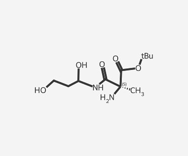 CC(C)(C)OC(=O)[C@@](C)(N)C(=O)NC(O)CCO